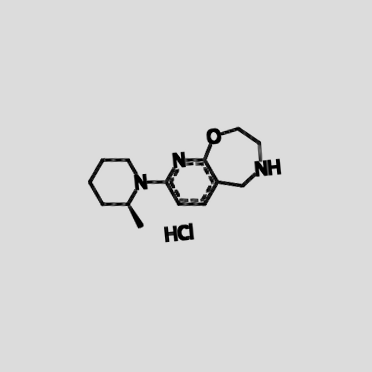 C[C@H]1CCCCN1c1ccc2c(n1)OCCNC2.Cl